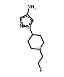 Nc1cnn(C2CCN(CCF)CC2)c1